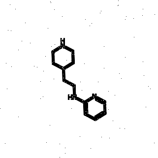 c1ccc(NCCC2CCNCC2)nc1